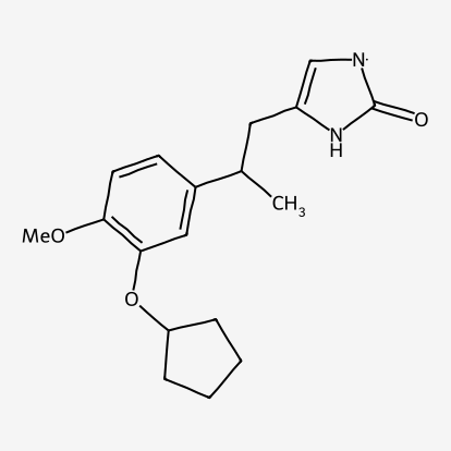 COc1ccc(C(C)CC2=C[N]C(=O)N2)cc1OC1CCCC1